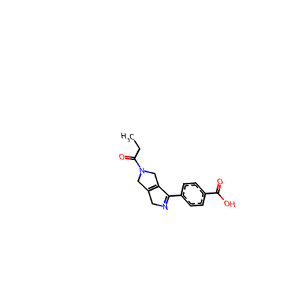 CCC(=O)N1CC2=C(C1)C(c1ccc(C(=O)O)cc1)=NC2